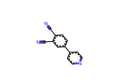 N#Cc1ccc(-c2c[c]ncc2)cc1C#N